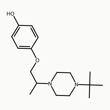 CC(COc1ccc(O)cc1)N1CCN(C(C)(C)C)CC1